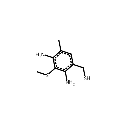 CSc1c(N)c(C)cc(CS)c1N